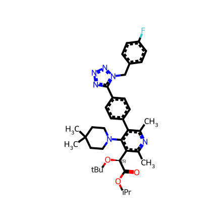 Cc1nc(C)c([C@H](OC(C)(C)C)C(=O)OC(C)C)c(N2CCC(C)(C)CC2)c1-c1ccc(-c2nnnn2Cc2ccc(F)cc2)cc1